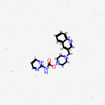 O=C(Nc1ncccn1)ON1CCN(Cc2cnc3ccccc3c2)CC1